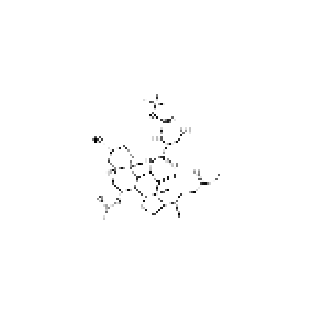 COC(=O)CC[C@@H](C)C1CCC2C3C([C@H](NC(=O)C(CO)NC(=O)OC(C)(C)C)C(=O)[C@@]21C)[C@@]1(C)CC[C@@H](O)C[C@H]1C[C@H]3OC(C)=O